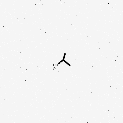 CC(C)O.[V]